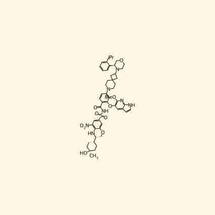 COc1nc2[nH]ccc2cc1Oc1cc(N2CCC3(CC2)CC(N2CCOC[C@@H]2c2ccccc2C(C)C)C3)ccc1C(=O)NS(=O)(=O)c1cc2c(c([N+](=O)[O-])c1)N[C@@H]([C@H]1CC[C@](C)(O)CC1)CO2